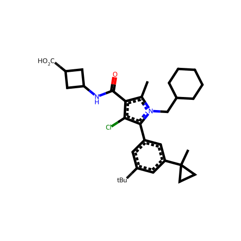 Cc1c(C(=O)NC2CC(C(=O)O)C2)c(Cl)c(-c2cc(C(C)(C)C)cc(C3(C)CC3)c2)n1CC1CCCCC1